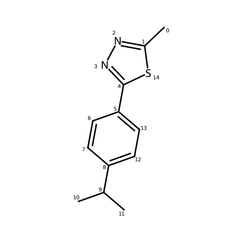 Cc1nnc(-c2ccc(C(C)C)cc2)s1